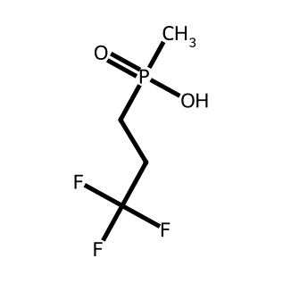 CP(=O)(O)CCC(F)(F)F